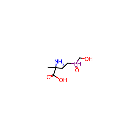 CC(N)(CC[PH](=O)CO)C(=O)O